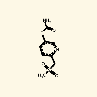 CS(=O)(=O)Cc1ccc(OC(N)=O)cn1